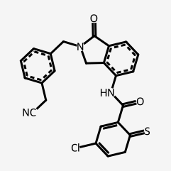 N#CCc1cccc(CN2Cc3c(NC(=O)C4=CC(Cl)=CCC4=S)cccc3C2=O)c1